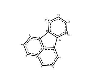 c1cc2c3c(cccc3c1)-c1nccnc1-2